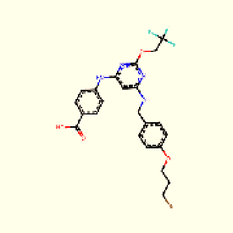 O=C(O)c1ccc(Nc2cc(NCc3ccc(OCCCBr)cc3)nc(OCC(F)(F)F)n2)cc1